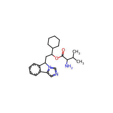 CC(C)C(N)C(=O)OC(CC1c2ccccc2-c2cncn21)C1CCCCC1